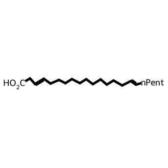 CCCCC/C=C/CCCCCCCCCCC/C=C/CC(=O)O